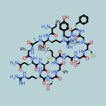 CC[C@H](C)[C@](C)(NC(=O)[C@H](CCCNC(=N)N)NC(=O)[C@@H](N)CC(C)C)C(=O)N[C@H](C(=O)N[C@@H](CCC(N)=O)C(=O)N[C@@H](CS)C(=O)N[C@@H](CCCNC(=N)N)C(=O)N[C@@H](CO)C(=O)N[C@H](C(=O)N[C@@H](CCC(=O)O)C(=O)NCC(=O)N[C@@H](CO)C(=O)N[C@@H](CS)C(=O)NCC(=O)N[C@@H](Cc1ccccc1)C(=O)N[C@@H](Cc1ccc(O)cc1)C(=O)O)C(C)C)C(C)C